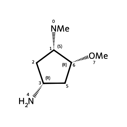 CN[C@H]1C[C@@H](N)C[C@H]1OC